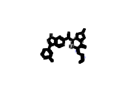 C=C(/C(=C\C=C/C)C(F)(F)F)[C@@H]1CN(C)C[C@H]1NC(=O)c1cc2[nH]nc(-c3ccnc(C)c3)c2cn1